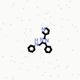 c1ccc(NCC2=NC(c3cccnc3)=NC2c2ccccc2)cc1